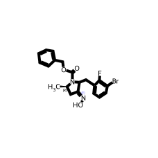 C[C@@H]1C/C(=N\O)C(Cc2cccc(Br)c2F)N1C(=O)OCc1ccccc1